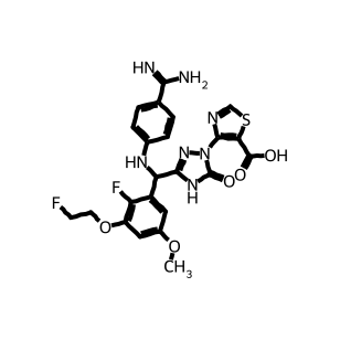 COc1cc(OCCF)c(F)c(C(Nc2ccc(C(=N)N)cc2)c2nn(-c3ncsc3C(=O)O)c(=O)[nH]2)c1